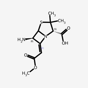 COC(=O)/C=C1\[C@@H](N)C2SC(C)(C)[C@H](C(=O)O)N12